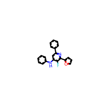 Fc1c(Nc2ccccc2)cc(-c2ccccc2)nc1-c1ccco1